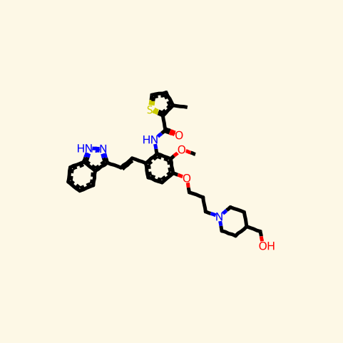 COc1c(OCCCN2CCC(CO)CC2)ccc(C=Cc2n[nH]c3ccccc23)c1NC(=O)c1sccc1C